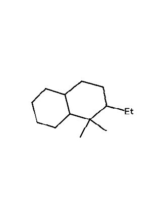 CCC1CCC2CCCCC2C1(C)C